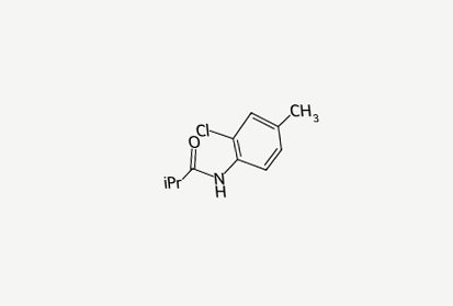 Cc1ccc(NC(=O)C(C)C)c(Cl)c1